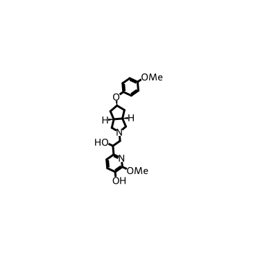 COc1ccc(O[C@H]2C[C@@H]3CN(CC(O)c4ccc(O)c(OC)n4)C[C@@H]3C2)cc1